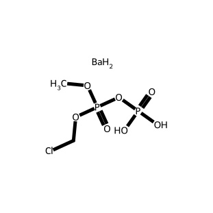 COP(=O)(OCCl)OP(=O)(O)O.[BaH2]